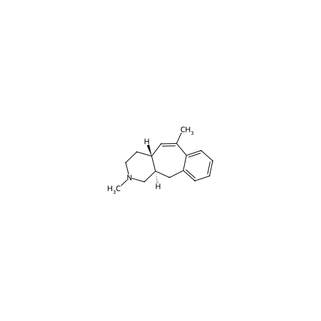 CC1=C[C@H]2CCN(C)C[C@@H]2Cc2ccccc21